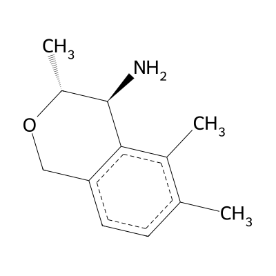 Cc1ccc2c(c1C)[C@H](N)[C@@H](C)OC2